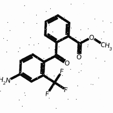 COC(=O)c1ccccc1C(=O)c1ccc(N)cc1C(F)(F)F